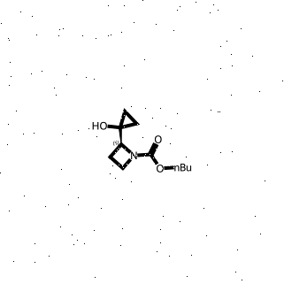 CCCCOC(=O)N1CC[C@H]1C1(O)CC1